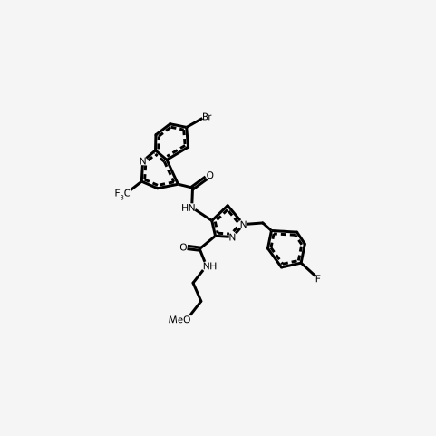 COCCNC(=O)c1nn(Cc2ccc(F)cc2)cc1NC(=O)c1cc(C(F)(F)F)nc2ccc(Br)cc12